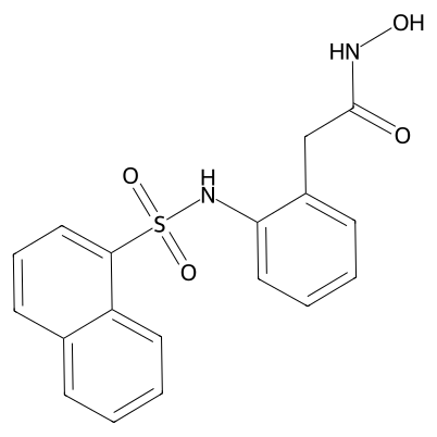 O=C(Cc1ccccc1NS(=O)(=O)c1cccc2ccccc12)NO